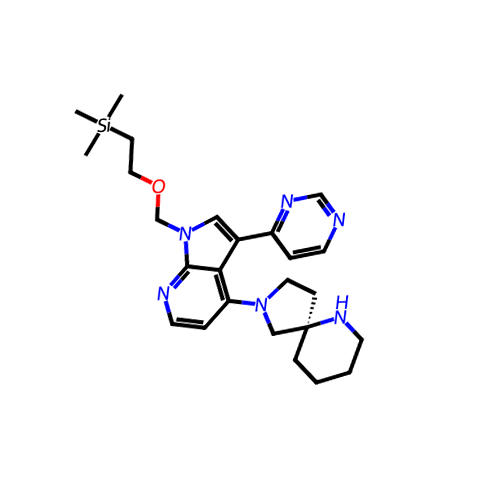 C[Si](C)(C)CCOCn1cc(-c2ccncn2)c2c(N3CC[C@]4(CCCCN4)C3)ccnc21